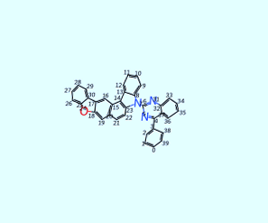 c1ccc(-c2nc(-n3c4ccccc4c4c5cc6c(cc5ccc43)oc3ccccc36)nc3ccccc23)cc1